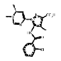 Cc1c(C(=O)O)nn(C2=C[C@H](C)N(C)C=N2)c1NC(=O)c1ccccc1Cl